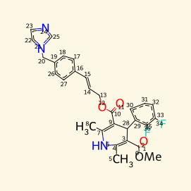 COC(=O)C1=C(C)NC(C)=C(C(=O)OCC=Cc2ccc(Cn3ccnc3)cc2)C1c1cccc(F)c1F